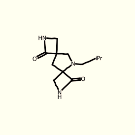 CC(C)CN1CC2(CNC2=O)CC12CNC2=O